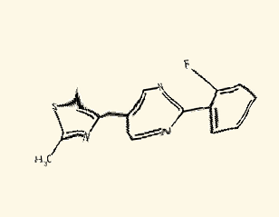 Cc1nc(-c2cnc(-c3ccccc3F)nc2)cs1